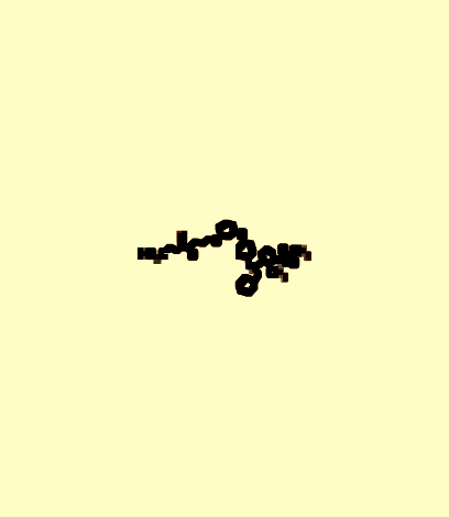 CC1C(N(Cc2ccccc2)Cc2ccc(Oc3cccc(OCCCC(=O)NCCC(=O)O)c3)cc2)=CC=C/C1=N\S(C)(=O)=O